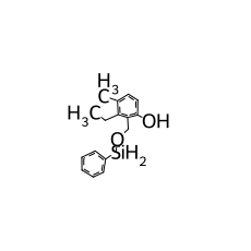 CCc1c(C)ccc(O)c1CO[SiH2]c1ccccc1